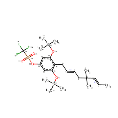 C/C=C/C(C)(C)C/C=C/Cc1c(O[Si](C)(C)C)cc(OS(=O)(=O)C(F)(F)F)cc1O[Si](C)(C)C